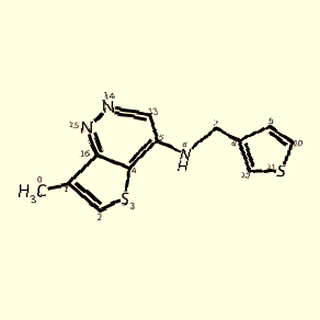 Cc1csc2c(NCc3ccsc3)cnnc12